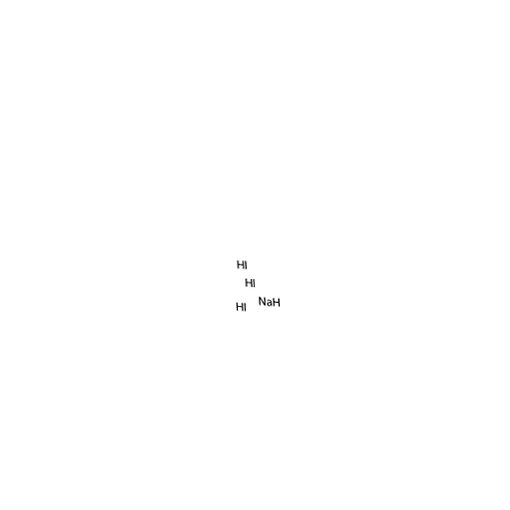 I.I.I.[NaH]